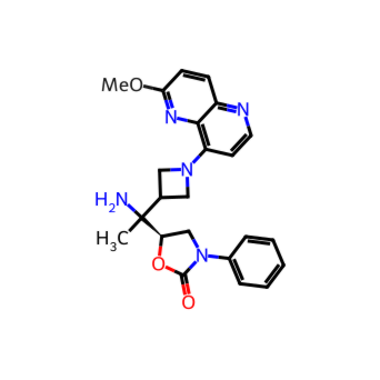 COc1ccc2nccc(N3CC(C(C)(N)[C@H]4CN(c5ccccc5)C(=O)O4)C3)c2n1